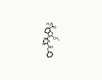 CC1Cc2c(C(N)=O)cccc2N1c1ncnc(NCc2ccccc2)n1